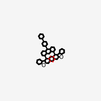 c1ccc(-c2ccc(-c3c4cccc(-c5c6ccccc6cc6oc7ccccc7c56)c4cc4c(-c5c6ccccc6cc6oc7ccccc7c56)cccc34)cc2)cc1